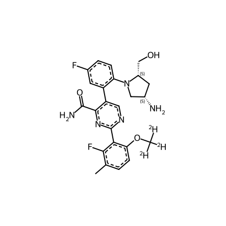 [2H]C([2H])([2H])Oc1ccc(C)c(F)c1-c1ncc(-c2cc(F)ccc2N2C[C@@H](N)C[C@H]2CO)c(C(N)=O)n1